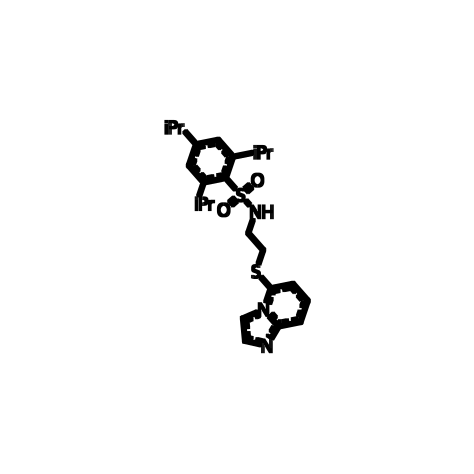 CC(C)c1cc(C(C)C)c(S(=O)(=O)NCCSc2cccc3nccn23)c(C(C)C)c1